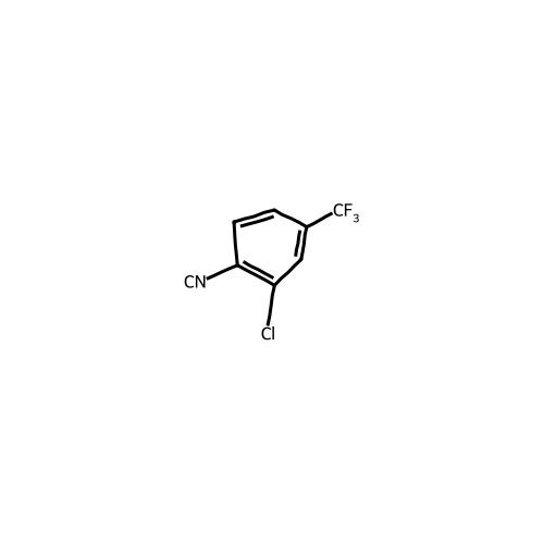 [C-]#[N+]c1ccc(C(F)(F)F)cc1Cl